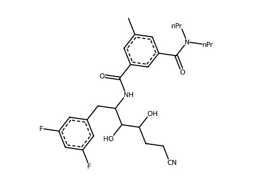 CCCN(CCC)C(=O)c1cc(C)cc(C(=O)NC(Cc2cc(F)cc(F)c2)C(O)C(O)CCC#N)c1